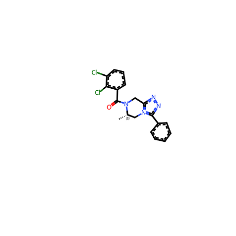 C[C@H]1Cn2c(nnc2-c2ccccc2)CN1C(=O)c1cccc(Cl)c1Cl